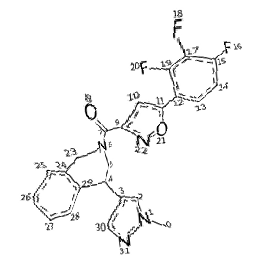 Cn1cc(C2CN(C(=O)c3cc(-c4ccc(F)c(F)c4F)on3)Cc3ccccc32)cn1